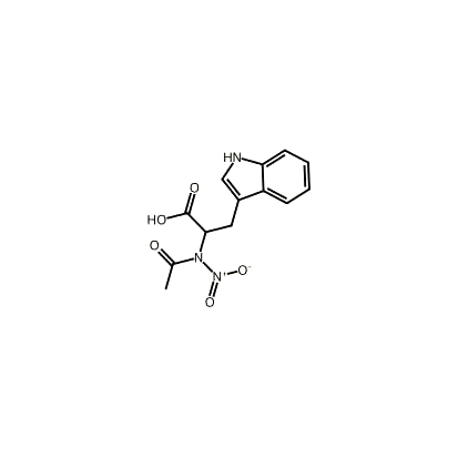 CC(=O)N(C(Cc1c[nH]c2ccccc12)C(=O)O)[N+](=O)[O-]